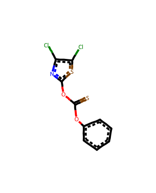 S=C(Oc1ccccc1)Oc1nc(Cl)c(Cl)s1